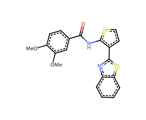 COc1ccc(C(=O)Nc2sccc2-c2nc3ccccc3s2)cc1OC